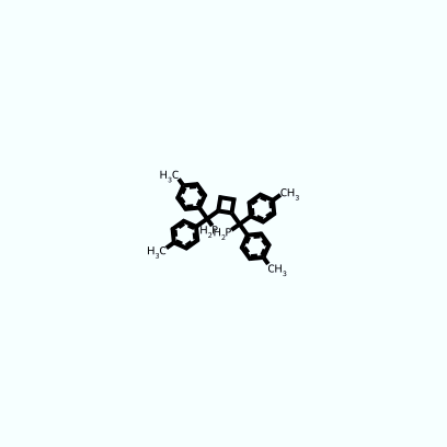 Cc1ccc(C(P)(c2ccc(C)cc2)C2CCC2C(P)(c2ccc(C)cc2)c2ccc(C)cc2)cc1